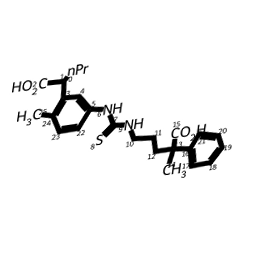 CCCC(C(=O)O)c1cc(NC(=S)NCCCC(C)(C(=O)O)c2ccccc2)ccc1C